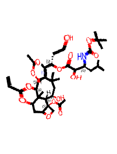 C=CC1OC2CC3OC[C@@]3(OC(C)=O)[C@H]3[C@H](O)CC(C)(C)/C(=C(/C)[C@H](CCO)OC(=O)C(O)[C@H](CC(C)C)NC(=O)OC(C)(C)C)[C@H](OC(C)=O)[C@H](O1)C23C